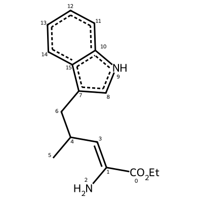 CCOC(=O)C(N)=CC(C)Cc1c[nH]c2ccccc12